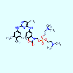 Cc1cnc(Nc2cc(C)c(C)c(C)c2)nc1Nc1ccc2oc(=O)n(COP(=O)(OCCN(C)C)OCCN(C)C)c2c1